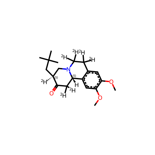 [2H]C1([2H])C(=O)[C@@]([2H])(CC(C)(C)C)CN2[C@@H]1c1cc(OC)c(OC)cc1C([2H])([2H])C2([2H])[2H]